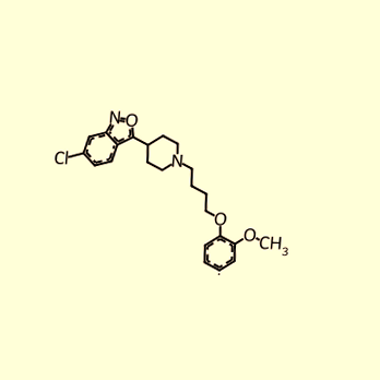 COc1c[c]ccc1OCCCCN1CCC(c2onc3cc(Cl)ccc23)CC1